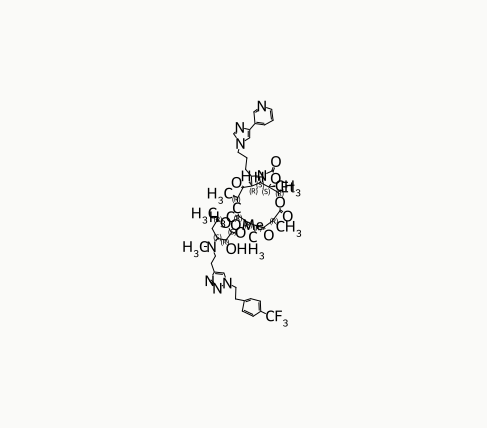 CC[C@H]1OC(=O)[C@H](C)C(=O)[C@H](C)[C@@H](O[C@@H]2O[C@H](C)C[C@H](N(C)CCc3cn(CCc4ccc(C(F)(F)F)cc4)nn3)[C@H]2O)[C@](C)(OC)C[C@@H](C)C(=O)[C@@H]2C(CCCn3cnc(-c4cccnc4)c3)N3C(=O)O[C@@]1(C)[C@H]23